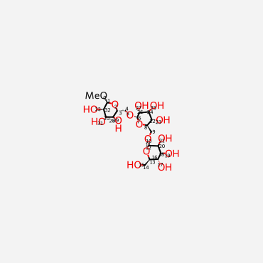 CO[C@H]1O[C@H](CO[C@H]2O[C@H](CO[C@H]3O[C@H](CO)[C@@H](O)[C@H](O)C3O)[C@@H](O)[C@H](O)[C@H]2O)[C@@H](O)[C@H](O)[C@H]1O